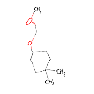 COCOC1CCC(C)(C)CC1